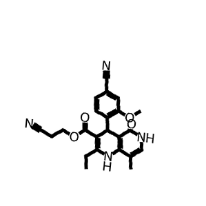 CCC1=C(C(=O)OCCC#N)C(c2ccc(C#N)cc2OC)c2c(c(C)c[nH]c2=O)N1